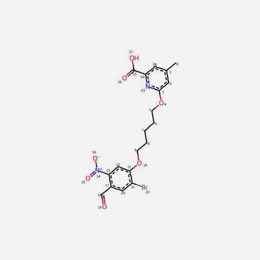 Cc1cc(OCCCCCOc2cc([N+](=O)[O-])c(C=O)cc2Br)nc(C(=O)O)c1